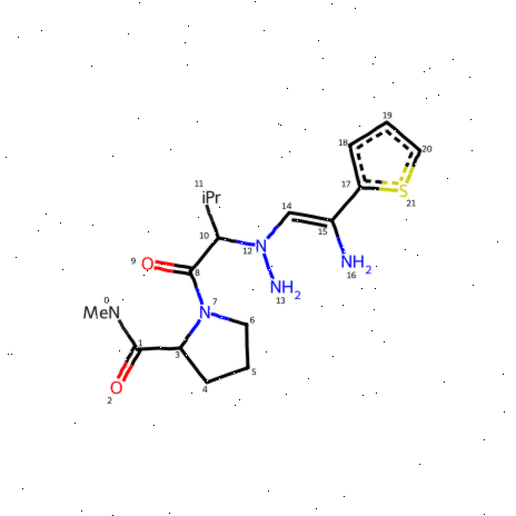 CNC(=O)C1CCCN1C(=O)C(C(C)C)N(N)/C=C(\N)c1cccs1